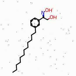 CCCCCCCCCCCCc1cccc(C(CO)=NO)c1